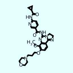 COc1c(OCCCN2CCOCC2)ccc2c1N=C(NC(=O)c1ccc(NC(=O)C3CC3)nc1)N1CCN=C21